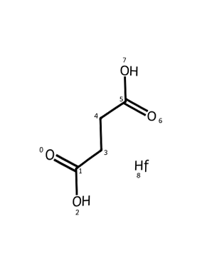 O=C(O)CCC(=O)O.[Hf]